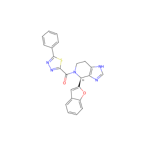 O=C(c1nnc(-c2ccccc2)s1)N1CCc2[nH]cnc2[C@H]1c1cc2ccccc2o1